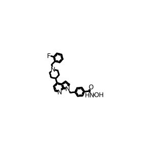 O=C(NO)c1ccc(Cn2ccc3c(C4CCN(Cc5ccccc5F)CC4)ccnc32)cc1